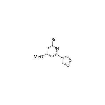 COc1cc(Br)nc(-c2ccoc2)c1